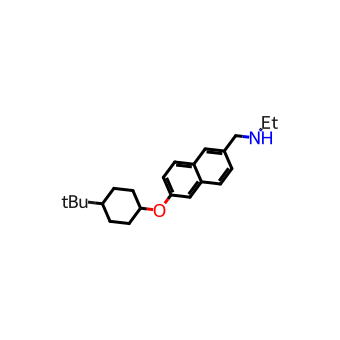 CCNCc1ccc2cc(OC3CCC(C(C)(C)C)CC3)ccc2c1